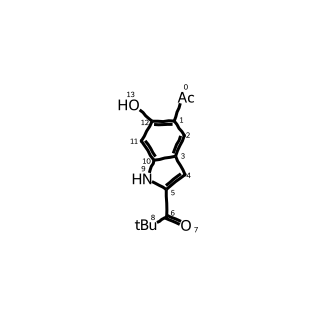 CC(=O)c1cc2cc(C(=O)C(C)(C)C)[nH]c2cc1O